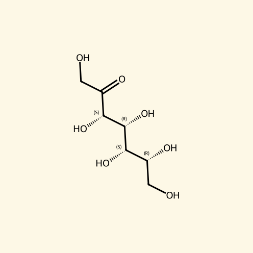 O=C(CO)[C@@H](O)[C@H](O)[C@@H](O)[C@H](O)CO